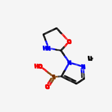 O=S(O)c1ccnn1C1NCCO1.[Li]